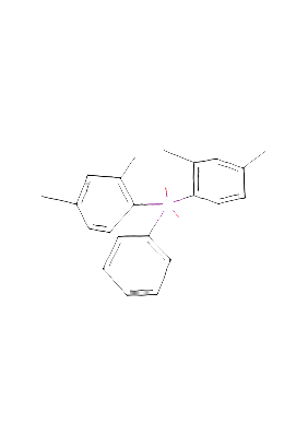 Cc1ccc(P(O)(O)(c2ccccc2)c2ccc(C)cc2C)c(C)c1